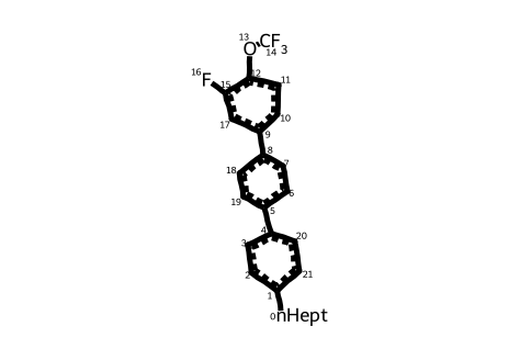 CCCCCCCc1ccc(-c2ccc(-c3ccc(OC(F)(F)F)c(F)c3)cc2)cc1